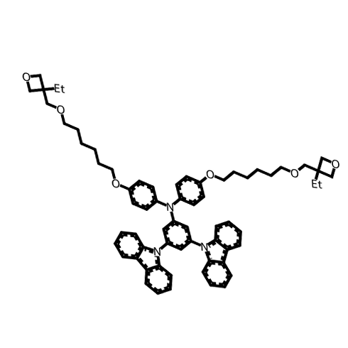 CCC1(COCCCCCCOc2ccc(N(c3ccc(OCCCCCCOCC4(CC)COC4)cc3)c3cc(-n4c5ccccc5c5ccccc54)cc(-n4c5ccccc5c5ccccc54)c3)cc2)COC1